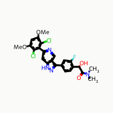 COc1cc(OC)c(Cl)c(-c2cc3[nH]nc(-c4ccc(C(O)C(=O)N(C)C)c(F)c4)c3cn2)c1Cl